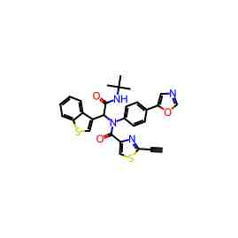 C#Cc1nc(C(=O)N(c2ccc(-c3cnco3)cc2)C(C(=O)NC(C)(C)C)c2csc3ccccc23)cs1